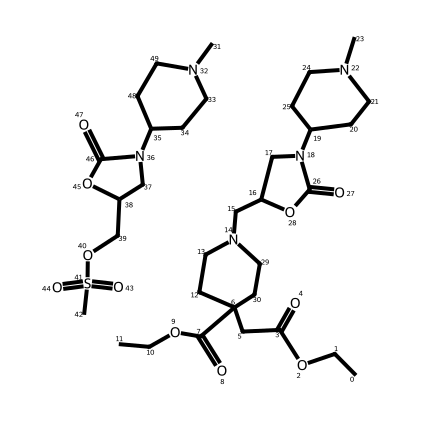 CCOC(=O)CC1(C(=O)OCC)CCN(CC2CN(C3CCN(C)CC3)C(=O)O2)CC1.CN1CCC(N2CC(COS(C)(=O)=O)OC2=O)CC1